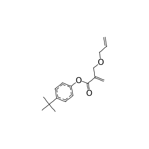 C=CCOCC(=C)C(=O)Oc1ccc(C(C)(C)C)cc1